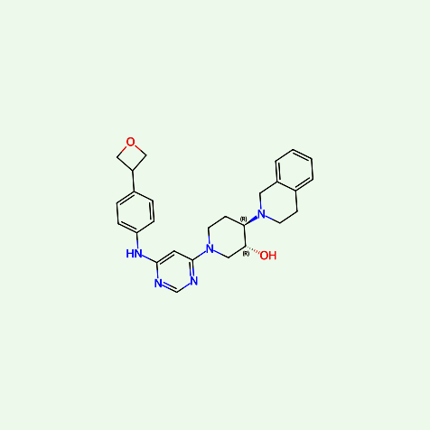 O[C@@H]1CN(c2cc(Nc3ccc(C4COC4)cc3)ncn2)CC[C@H]1N1CCc2ccccc2C1